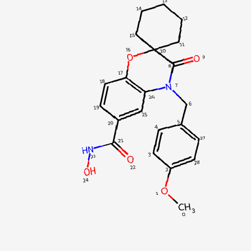 COc1ccc(CN2C(=O)C3(CCCCC3)Oc3ccc(C(=O)NO)cc32)cc1